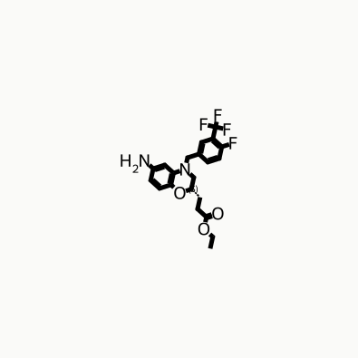 CCOC(=O)CC[C@H]1CN(Cc2ccc(F)c(C(F)(F)F)c2)c2cc(N)ccc2O1